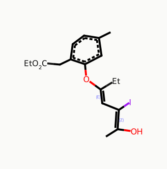 CCOC(=O)Cc1ccc(C)cc1O/C(=C/C(I)=C(\C)O)CC